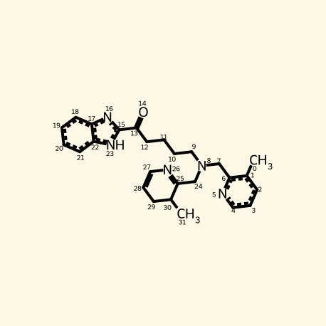 Cc1cccnc1CN(CCCCC(=O)c1nc2ccccc2[nH]1)CC1=NC=CCC1C